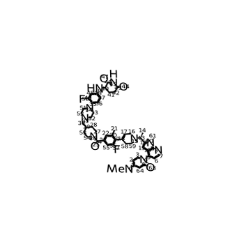 CNc1ccn(-c2ccnc3c2cc([C@H](C)N2CC=C(c4c(C)cc(C(=O)N5CCC(CN6CCN(c7ccc(NC8CCC(=O)NC8=O)cc7F)CC6)CC5)cc4F)CC2)n3C)c(=O)c1